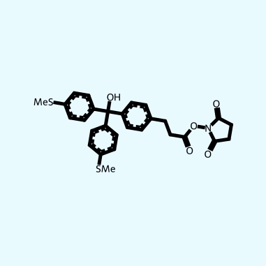 CSc1ccc(C(O)(c2ccc(CCC(=O)ON3C(=O)CCC3=O)cc2)c2ccc(SC)cc2)cc1